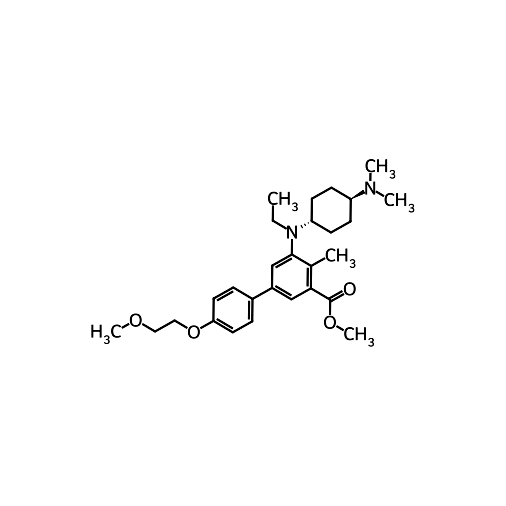 CCN(c1cc(-c2ccc(OCCOC)cc2)cc(C(=O)OC)c1C)[C@H]1CC[C@H](N(C)C)CC1